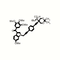 COc1ccc2c(C(=O)c3cc(OC)c(OC)c(OC)c3)cn(CC#Cc3ccc(C#CC4(N(C(=O)O)C(C)(C)C)COC(C)(C)OC4)cc3)c2c1